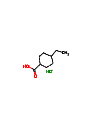 CCC1CCC(C(=O)O)CC1.Cl